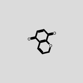 O=C1C=CC(=O)C2=C1C=CCO2